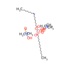 CCCCCCCC/C=C\CCCCCCCC(=O)OC(COC(=O)CCCCCCCCCCCCCCC)COP(=O)(O)OCC[N+](C)(C)C.C[N+](C)(C#P=O)CCO